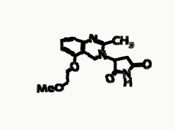 COCCOc1cccc2c1CN(C1CC(=O)NC1=O)C(C)=N2